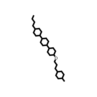 CCCCC1CCC(C2CCC(C3CCC(OCCCC4CCC(C)CC4)CC3)CC2)CC1